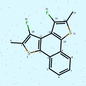 Cc1sc2c3ccccc3c3sc(C)c(F)c3c2c1F